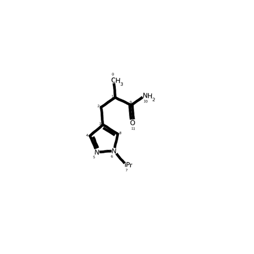 CC(Cc1cnn(C(C)C)c1)C(N)=O